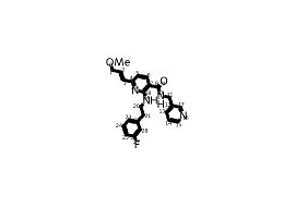 COC/C=C/c1ccc(C(=O)NCc2cccnc2)c(NCCc2cccc(F)c2)n1